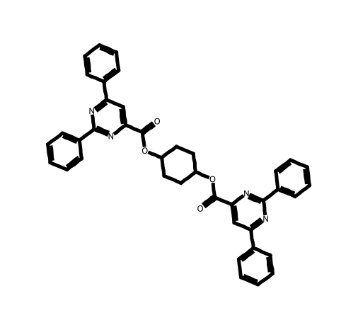 O=C(OC1CCC(OC(=O)c2cc(-c3ccccc3)nc(-c3ccccc3)n2)CC1)c1cc(-c2ccccc2)nc(-c2ccccc2)n1